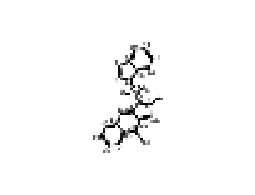 CC1=C([Si](C)(C)C2C=Cc3ccccc32)C2=Cc3ccccc3C(C)C2=C1